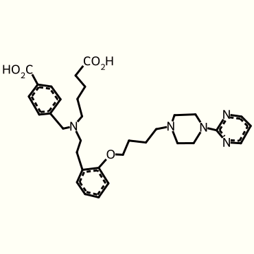 O=C(O)CCCCN(CCc1ccccc1OCCCCN1CCN(c2ncccn2)CC1)Cc1ccc(C(=O)O)cc1